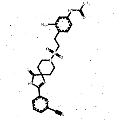 CC(=O)Nc1ccc(CCS(=O)(=O)N2CCC3(CC2)N=C(c2cccc(C#N)c2)NC3=O)c(C)c1